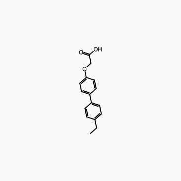 CCc1ccc(-c2ccc(OCC(=O)O)cc2)cc1